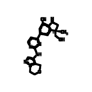 C[C@]1(CO)CNc2c(C#N)cc(-c3ccnc(Nc4cnn5c4COCC5)n3)cc21